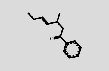 CCC=CC(C)CC(=O)c1ccccc1